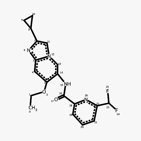 CCOc1cc2nc(C3CC3)cn2cc1NC(=O)c1cccc(C(F)F)n1